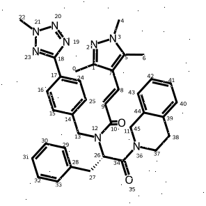 Cc1nn(C)c(C)c1C=CC(=O)N(Cc1ccc(-c2nnn(C)n2)cc1)[C@@H](Cc1ccccc1)C(=O)N1CCc2ccccc2C1